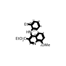 CCOC(=O)c1cnc2c(OC)cccc2c1Nc1ccccc1CC